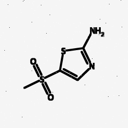 CS(=O)(=O)c1cnc(N)s1